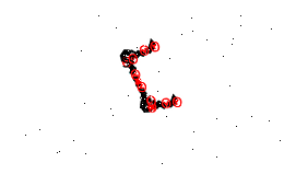 C[Si]1(CCCOCC2CO2)CCCCO[Si](C)(CCCOCCCOCCC[Si]2(C)CCCCO[Si](C)(CCCOCC3CO3)O2)O1